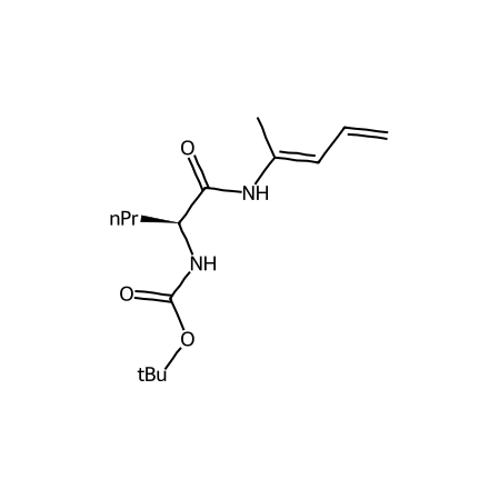 C=C/C=C(\C)NC(=O)[C@H](CCC)NC(=O)OC(C)(C)C